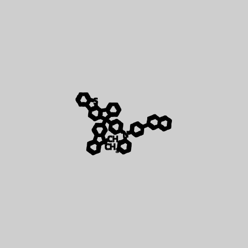 CC1(C)c2ccccc2-c2ccc(C3(c4ccc(N(c5ccccc5)c5ccc(-c6ccc7ccccc7c6)cc5)cc4)c4ccccc4-c4c3ccc3c4sc4ccccc43)cc21